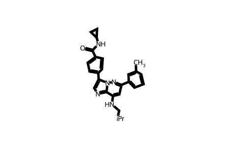 Cc1cccc(-c2cc(NCC(C)C)c3ncc(-c4ccc(C(=O)NC5CC5)cc4)n3n2)c1